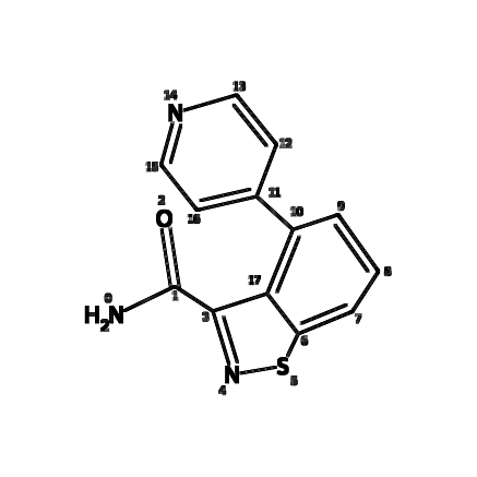 NC(=O)c1nsc2cccc(-c3ccncc3)c12